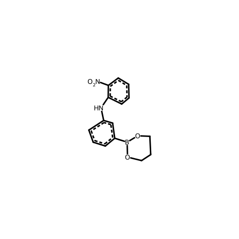 O=[N+]([O-])c1ccccc1Nc1cccc(B2OCCCO2)c1